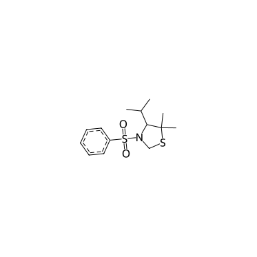 CC(C)C1N(S(=O)(=O)c2ccccc2)CSC1(C)C